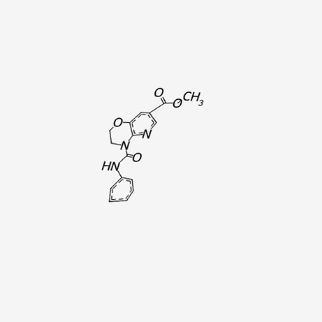 COC(=O)c1cnc2c(c1)OCCN2C(=O)Nc1ccccc1